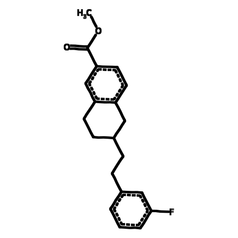 COC(=O)c1ccc2c(c1)CCC(CCc1cccc(F)c1)C2